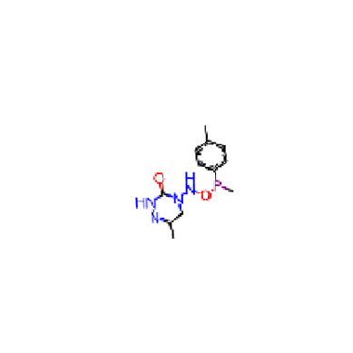 CC1=NNC(=O)N(NOP(C)c2ccc(C)cc2)C1